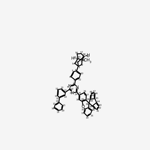 CC12CC3(c4ccc(-c5nc(-c6cccc(-c7ccccc7)c6)nc(-c6ccc7c(c6)Oc6ccccc6C76c7ccccc7-c7ccccc76)n5)cc4)C[C@H]1CC[C@H]2C3